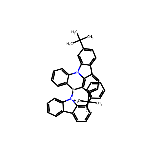 CC(C)(C)c1ccc2c3ccc(C(C)(C)C)c4c3n(c2c1)-c1ccccc1B4n1c2ccccc2c2cccc(-c3ccccc3)c21